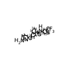 Nc1nccc(Oc2ccc3c(c2)CCCN3C(=O)Nc2ccc(F)c(C(F)(F)F)c2)n1